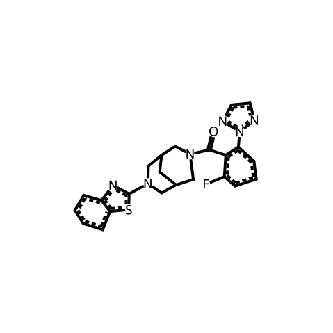 O=C(c1c(F)cccc1-n1nccn1)N1CC2CC(C1)CN(c1nc3ccccc3s1)C2